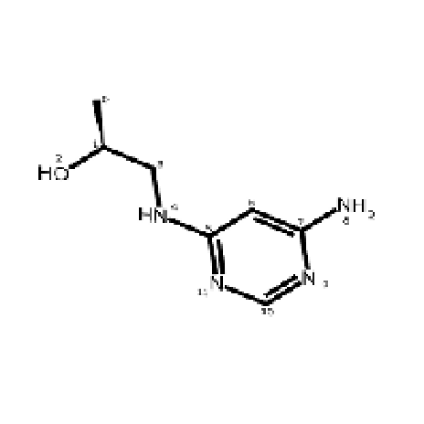 C[C@H](O)CNc1cc(N)ncn1